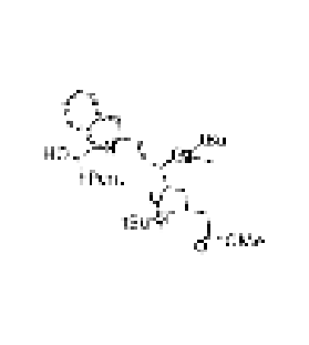 CCCCC[C@H](O)c1nc(/C=C/[C@@H](O[Si](C)(C)C(C)(C)C)C(CCCC(=O)OC)O[Si](C)(C)C(C)(C)C)cc2ccccc12